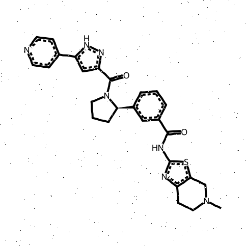 CN1CCc2nc(NC(=O)c3cccc([C@H]4CCCN4C(=O)c4cc(-c5ccncc5)[nH]n4)c3)sc2C1